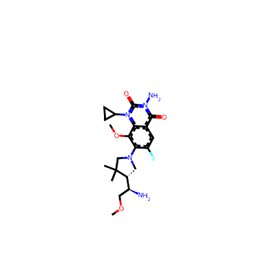 COC[C@H](N)[C@H]1CN(c2c(F)cc3c(=O)n(N)c(=O)n(C4CC4)c3c2OC)CC1(C)C